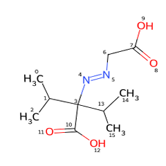 CC(C)C(N=NCC(=O)O)(C(=O)O)C(C)C